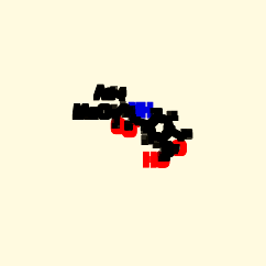 COC(=O)[C@H](CC(C)=O)NC(=O)c1ccc2c(c1)B(O)OC2